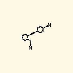 N#CCc1ccccc1C#Cc1ccc(C#N)cc1